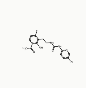 CC(=O)c1ccc(F)c(CCNC(=O)Nc2ccc(Cl)cn2)c1O